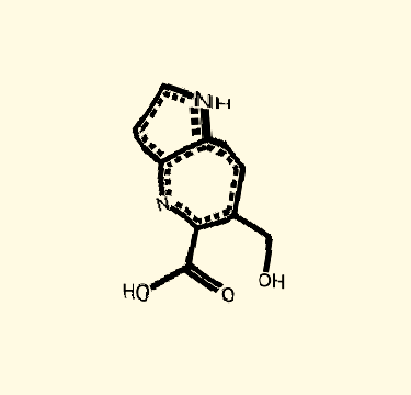 O=C(O)c1nc2cc[nH]c2cc1CO